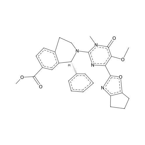 COC(=O)c1ccc2c(c1)[C@@H](c1ccccc1)N(c1nc(-c3nc4c(o3)CCC4)c(OC)c(=O)n1C)CC2